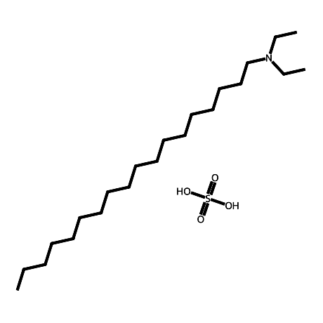 CCCCCCCCCCCCCCCCCCN(CC)CC.O=S(=O)(O)O